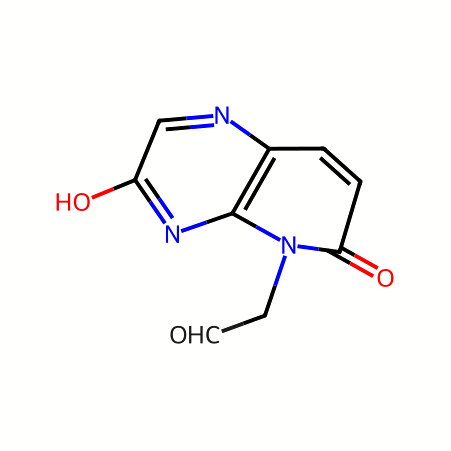 O=CCn1c(=O)ccc2ncc(O)nc21